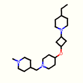 CCC1CCN(C2CC(OC3CCN(CC4CCN(C)CC4)CC3)C2)CC1